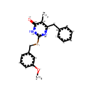 COc1cccc(CSc2nc(Cc3ccccc3)c(C)c(=O)[nH]2)c1